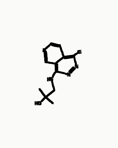 CC(C)(O)CNc1nnc(Cl)c2ccncc12